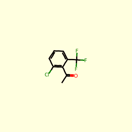 CC(=O)c1c(Cl)cccc1C(F)(F)F